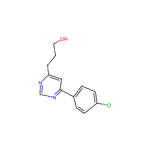 OCCCc1cc(-c2ccc(Cl)cc2)ncn1